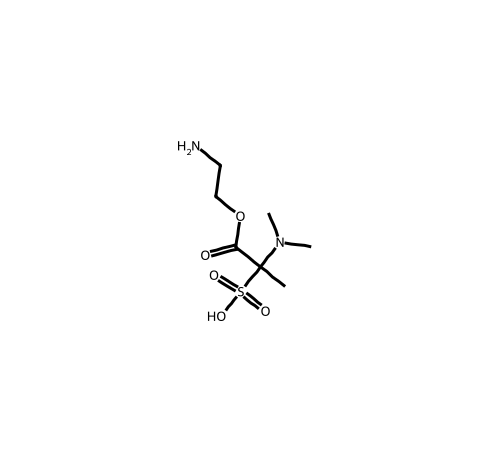 CN(C)C(C)(C(=O)OCCN)S(=O)(=O)O